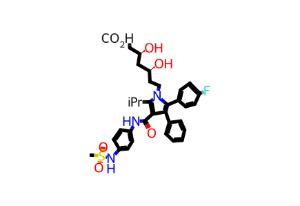 CC(C)c1c(C(=O)Nc2ccc(NS(C)(=O)=O)cc2)c(-c2ccccc2)c(-c2ccc(F)cc2)n1CC[C@@H](O)C[C@@H](O)CC(=O)O